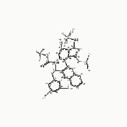 CC(C)(C)OC(=O)NC(Cc1cc(F)cc(F)c1)c1nc2ccccc2nc1-c1ccc(Cl)c2c(NS(C)(=O)=O)nn(CC(F)F)c12